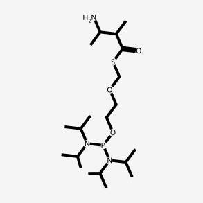 CC(N)C(C)C(=O)SCOCCOP(N(C(C)C)C(C)C)N(C(C)C)C(C)C